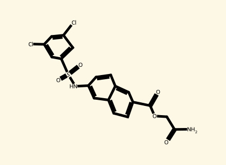 NC(=O)COC(=O)c1ccc2cc(NS(=O)(=O)c3cc(Cl)cc(Cl)c3)ccc2c1